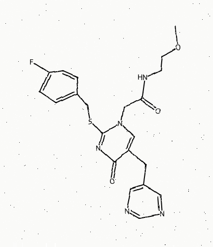 COCCNC(=O)Cn1cc(Cc2cncnc2)c(=O)nc1SCc1ccc(F)cc1